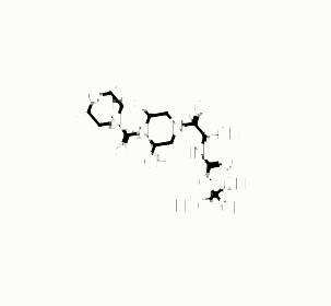 CC1CN(C(=O)[C@H](C)NC(=O)OC(C)(C)C)CC(C)N1C(=O)N1CCOCC1